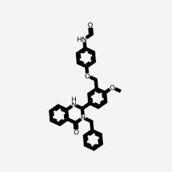 COc1ccc(C2Nc3ccccc3C(=O)N2Cc2ccccc2)cc1COc1ccc(NC=O)cc1